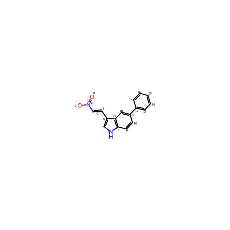 O=[N+]([O-])/C=C/c1c[nH]c2ccc(-c3ccccc3)cc12